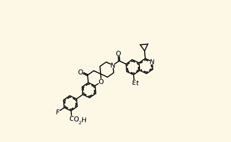 CCc1cc(C(=O)N2CCC3(CC2)CC(=O)c2cc(-c4ccc(F)c(C(=O)O)c4)ccc2O3)cc2c(C3CC3)nccc12